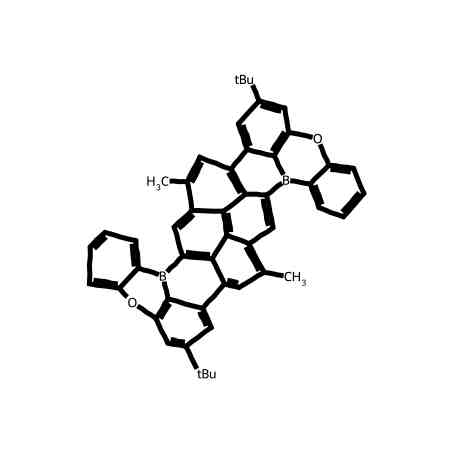 Cc1cc2c3c(cc4c(C)cc5c6c(cc1c3c46)B1c3ccccc3Oc3cc(C(C)(C)C)cc-5c31)B1c3ccccc3Oc3cc(C(C)(C)C)cc-2c31